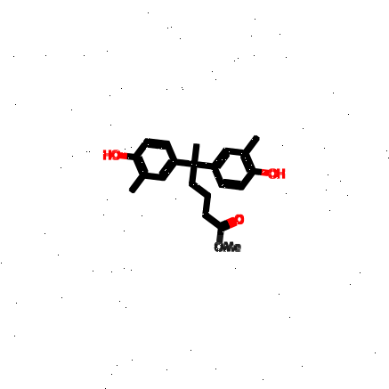 COC(=O)CCCC(C)(c1ccc(O)c(C)c1)c1ccc(O)c(C)c1